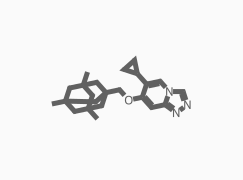 CC12CC3(C)CC(C)(C1)CC(COc1cc4nncn4cc1C1CC1)(C2)C3